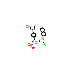 ClCCN(CCCl)c1ccc2ccccc2c1.O=C(O)CCCc1ccc(N(CCCl)CCCl)cc1